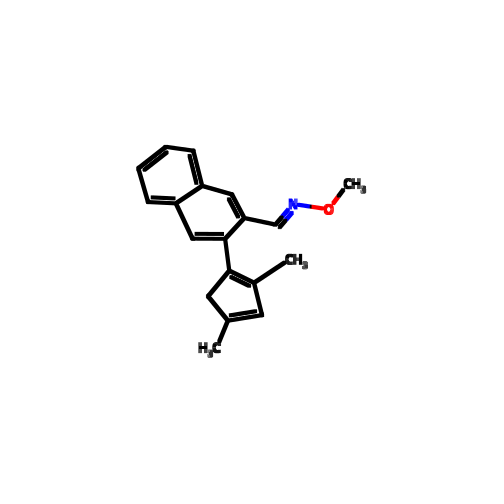 CON=Cc1cc2ccccc2cc1C1=C(C)C=C(C)C1